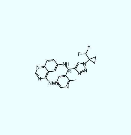 CNc1ncnc2ccc(N[C@@H](c3cn(C4(C(F)F)CC4)nn3)c3cccnc3C)cc12